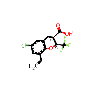 C=Cc1cc(Cl)cc2c1O[C@H](C(F)(F)F)[C@H](C(=O)O)C2